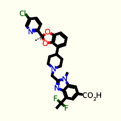 Cn1c(CN2CCC(c3cccc4c3O[C@@](C)(c3ccc(Cl)cn3)O4)CC2)nc2c(C(C)(F)F)cc(C(=O)O)cc21